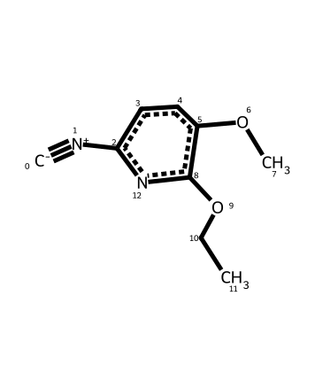 [C-]#[N+]c1ccc(OC)c(OCC)n1